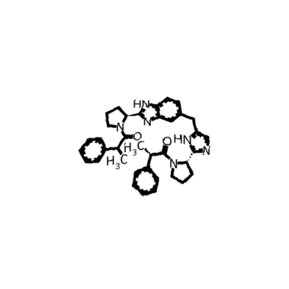 CC(C(=O)N1CCC[C@H]1c1nc2cc(Cc3cnc([C@@H]4CCCN4C(=O)[C@H](C)c4ccccc4)[nH]3)ccc2[nH]1)c1ccccc1